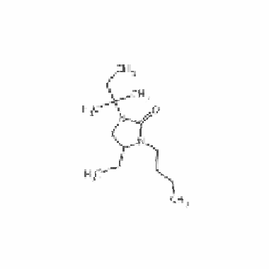 CCCCN1C(=O)N(C(C)(C)CC)CC1CC